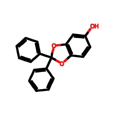 Oc1ccc2c(c1)OC(c1ccccc1)(c1ccccc1)O2